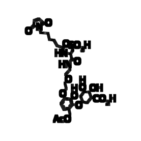 CC(=O)OCc1ccc(OCCOCCNC(=O)[C@H](CS(=O)(=O)O)NC(=O)CCCCCN2C(=O)C=CC2=O)cc1O[C@@H]1C[C@H](C(=O)O)[C@@H](O)[C@H](O)[C@H]1O